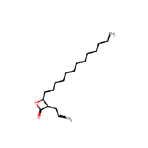 C=CCC1C(=O)OC1CCCCCCCCCCCCC